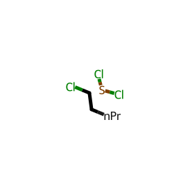 CCCCCCl.ClSCl